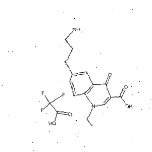 CCn1cc(C(=O)O)c(=O)c2cc(SCCN)ccc21.O=C(O)C(F)(F)F